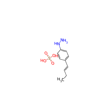 CCC=Cc1ccc(NN)cc1.O=S(=O)(O)O